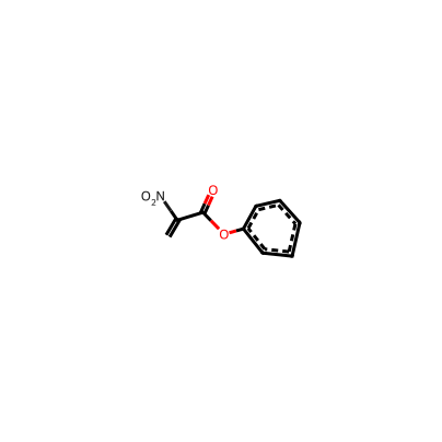 C=C(C(=O)Oc1ccccc1)[N+](=O)[O-]